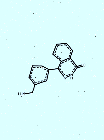 NCc1cccc(-c2n[nH]c(=O)c3ccccc23)c1